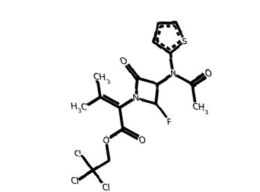 CC(=O)N(c1cccs1)C1C(=O)N(C(C(=O)OCC(Cl)(Cl)Cl)=C(C)C)C1F